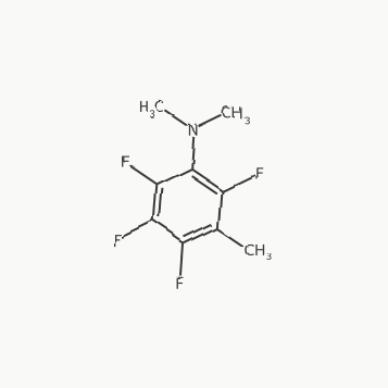 Cc1c(F)c(F)c(F)c(N(C)C)c1F